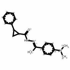 C/C(=N\NC(=O)C1CC1c1ccccc1)c1ccc(N(C)C)cc1